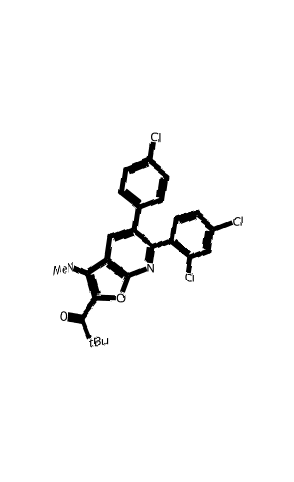 CNc1c(C(=O)C(C)(C)C)oc2nc(-c3ccc(Cl)cc3Cl)c(-c3ccc(Cl)cc3)cc12